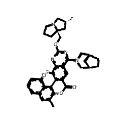 COC(=O)c1cc2c(N3CC4CCC(C4)C3)nc(OC[C@@]34CCCN3C[C@H](F)C4)nc2c(F)c1-c1cc(C)cc2cccc(Cl)c12